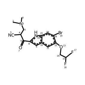 CN(C)CC(C#N)C(=O)c1cc2cc(OCC(F)F)c(Br)cc2[nH]1